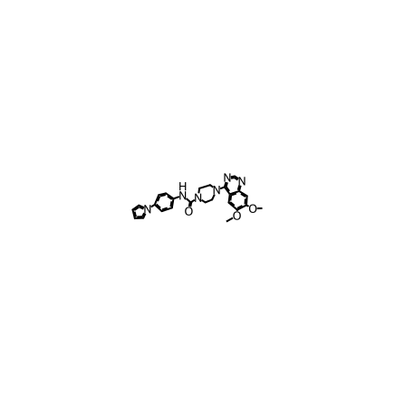 COc1cc2ncnc(N3CCN(C(=O)Nc4ccc(-n5cccc5)cc4)CC3)c2cc1OC